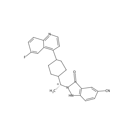 C[C@H](C1CCC(c2ccnc3ccc(F)cc23)CC1)n1[nH]c2ccc(C#N)cc2c1=O